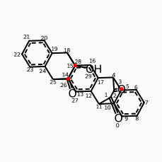 O=C1C(=O)C2c3ccccc3C1c1cc3c(cc12)C1c2ccccc2C3C(=O)C1O